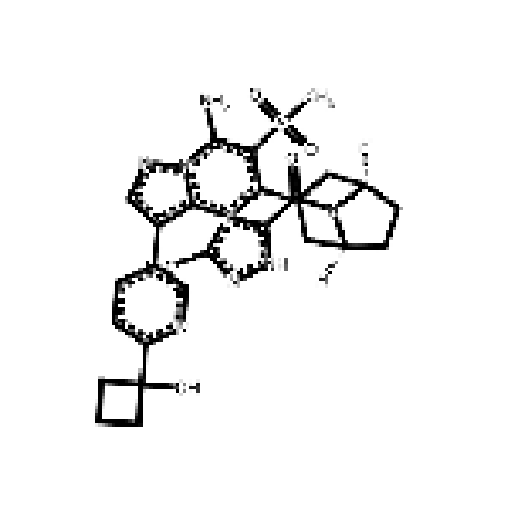 Cc1n[nH]c(C(=O)N2[C@@H]3CC[C@H]2C[C@@H](c2nc4c(-c5ccc(C6(O)CCC6)nc5)cnn4c(N)c2S(C)(=O)=O)C3)n1